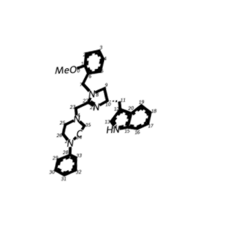 COc1ccccc1CN1C[C@H](Cc2c[nH]c3ccccc23)N=C1CN1CCN(c2ccccc2)CC1